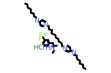 CCCCCCCCN=c1ccn(CCCCCCCCCCn2ccc(=NCCCCCCCC)cc2)cc1.CCNC(C)Cc1cccc(C(F)(F)F)c1.Cl